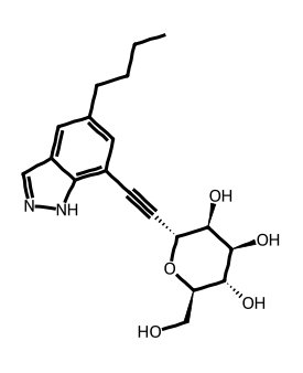 CCCCc1cc(C#C[C@H]2O[C@H](CO)[C@@H](O)[C@H](O)[C@@H]2O)c2[nH]ncc2c1